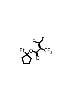 CCC1(OC(=O)C(=C(F)F)C(F)(F)F)CCCC1